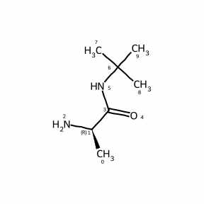 C[C@@H](N)C(=O)NC(C)(C)C